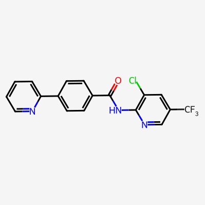 O=C(Nc1ncc(C(F)(F)F)cc1Cl)c1ccc(-c2ccccn2)cc1